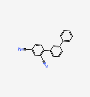 N#Cc1ccc(-c2cccc(-c3ccccc3)c2)c(C#N)c1